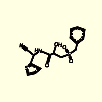 N#CC(NC(=O)C(O)CS(=O)(=O)Cc1ccccc1)c1cccs1